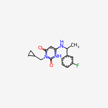 CC(Nc1cc(=O)n(CC2CC2)c(=O)[nH]1)c1cccc(F)c1